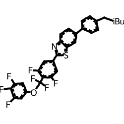 CCC(C)Cc1ccc(-c2ccc3nc(-c4cc(F)c(C(F)(F)Oc5cc(F)c(F)c(F)c5)c(F)c4)sc3c2)cc1